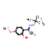 COc1ccc(C(C)=NSC(C)(C)C)c(O)c1